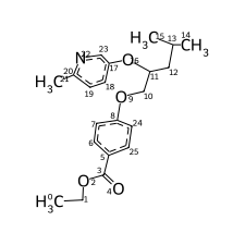 CCOC(=O)c1ccc(OCC(CC(C)C)Oc2ccc(C)nc2)cc1